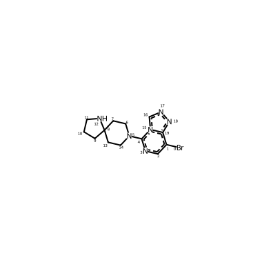 Brc1cnc(N2CCC3(CCCN3)CC2)n2cnnc12